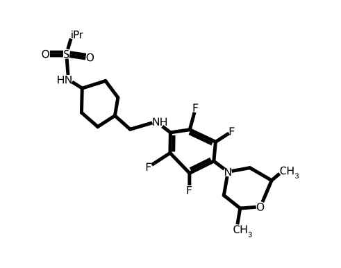 CC1CN(c2c(F)c(F)c(NCC3CCC(NS(=O)(=O)C(C)C)CC3)c(F)c2F)CC(C)O1